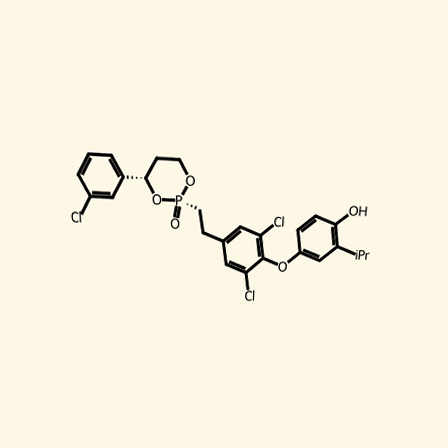 CC(C)c1cc(Oc2c(Cl)cc(CC[P@@]3(=O)OCC[C@@H](c4cccc(Cl)c4)O3)cc2Cl)ccc1O